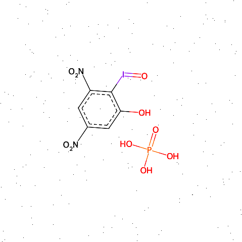 O=Ic1c(O)cc([N+](=O)[O-])cc1[N+](=O)[O-].O=P(O)(O)O